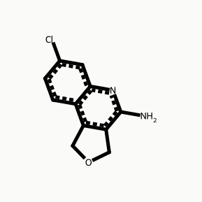 Nc1nc2cc(Cl)ccc2c2c1COC2